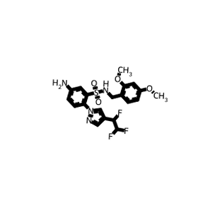 COc1ccc(CNS(=O)(=O)c2cc(N)ccc2-n2cc(C(F)C(F)F)cn2)c(OC)c1